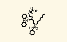 C1CCC(NC2CCCCC2)CC1.CCCCCCCN(CCc1csc(SC(C)(C)C(=O)O)n1)C(=O)NC1CCCCC1